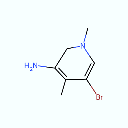 CC1=C(N)CN(C)C=C1Br